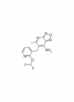 Cc1nc2nonc2c(N)c1Cc1cccnc1OC(F)F